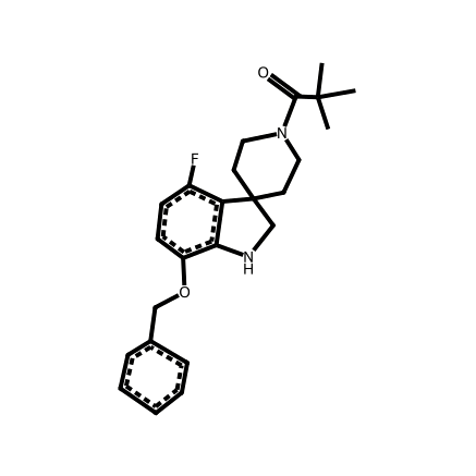 CC(C)(C)C(=O)N1CCC2(CC1)CNc1c(OCc3ccccc3)ccc(F)c12